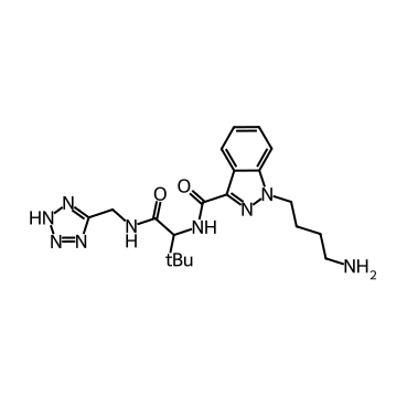 CC(C)(C)C(NC(=O)c1nn(CCCCN)c2ccccc12)C(=O)NCc1nn[nH]n1